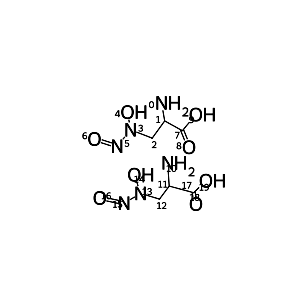 NC(CN(O)N=O)C(=O)O.NC(CN(O)N=O)C(=O)O